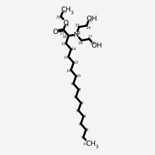 CCCCCCCCCCCCCCCCC(C(=O)OCC)N(CCO)CCO